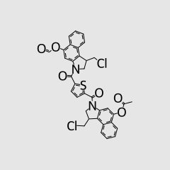 CC(=O)Oc1cc2c(c3ccccc13)C(CCl)CN2C(=O)c1ccc(C(=O)N2CC(CCl)c3c2cc(OC=O)c2ccccc32)s1